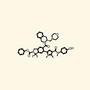 Cc1c(C(=O)N(C)c2ccc(O)cc2)cc(-c2cc3c(cc2C(=O)N2Cc4ccccc4C[C@H]2CN2CCOCC2)CN(C(=O)Oc2ccccc2)C3(F)F)n1C